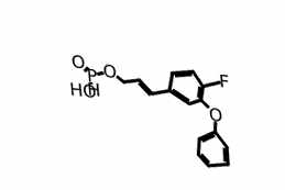 O=[PH](O)OCC=Cc1ccc(F)c(Oc2ccccc2)c1